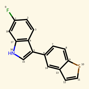 Fc1ccc2c(-c3ccc4sccc4c3)c[nH]c2c1